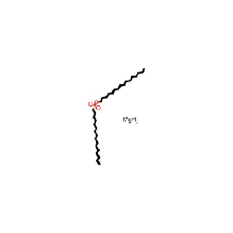 CCCCCCCCCCCCCCCCOS(=O)(=O)CCCCCCCCCCCCCCCC.[MgH2]